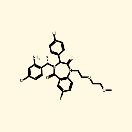 COCCOCCN1C(=O)C(c2ccc(Cl)cc2)N([C@@H](C)c2ccc(Cl)cc2N)C(=O)c2cc(I)ccc21